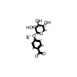 O=C([O-])c1ccc(O[C@H]2OC[C@@H](O)[C@H](O)[C@H]2O)cc1.[K+]